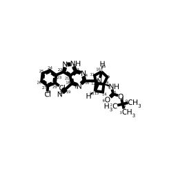 CC(C)(C)OC(=O)N[C@]12C[C@@H]3CC1[C@H](C2)N3c1nc(C#N)c2c(-c3cccc(Cl)c3Cl)n[nH]c2n1